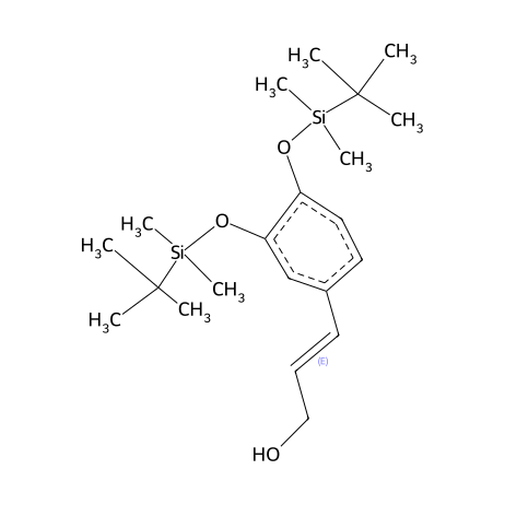 CC(C)(C)[Si](C)(C)Oc1ccc(/C=C/CO)cc1O[Si](C)(C)C(C)(C)C